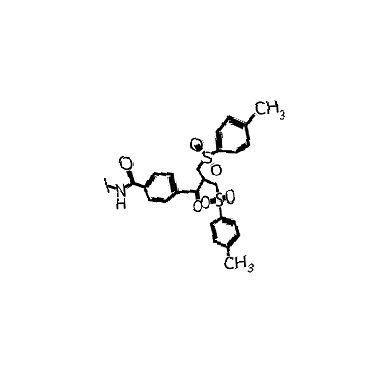 Cc1ccc(S(=O)(=O)CC(CS(=O)(=O)c2ccc(C)cc2)C(=O)c2ccc(C(=O)NI)cc2)cc1